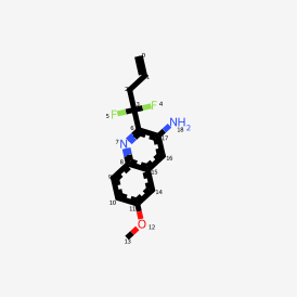 C=CCC(F)(F)c1nc2ccc(OC)cc2cc1N